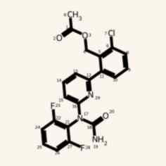 CC(=O)OCc1c(Cl)cccc1-c1cccc(N(C(N)=O)c2c(F)cccc2F)n1